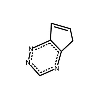 C1=Cc2nncnc2C1